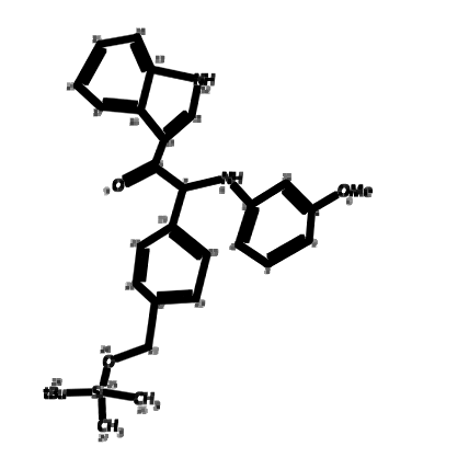 COc1cccc(NC(C(=O)c2c[nH]c3ccccc23)c2ccc(CO[Si](C)(C)C(C)(C)C)cc2)c1